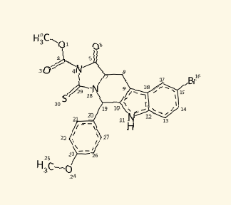 COC(=O)N1C(=O)C2Cc3c([nH]c4ccc(Br)cc34)C(c3ccc(OC)cc3)N2C1=S